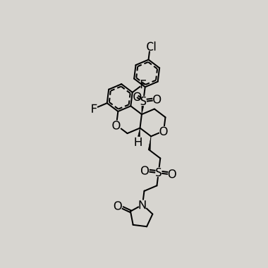 O=C1CCCN1CCS(=O)(=O)CC[C@@H]1OCC[C@@]2(S(=O)(=O)c3ccc(Cl)cc3)c3c(F)ccc(F)c3OC[C@@H]12